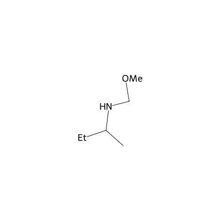 CCC(C)NCOC